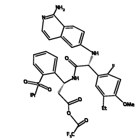 CCc1cc([C@@H](Nc2ccc3c(N)nccc3c2)C(=O)N[C@H](CC(=O)OC(=O)C(F)(F)F)c2ccccc2S(=O)(=O)C(C)C)c(F)cc1OC